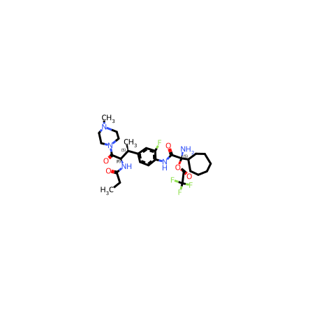 CCC(=O)N[C@@H](C(=O)N1CCN(C)CC1)[C@@H](C)c1ccc(NC(=O)[C@@](N)(OC(=O)C(F)(F)F)C2CCCCCC2)c(F)c1